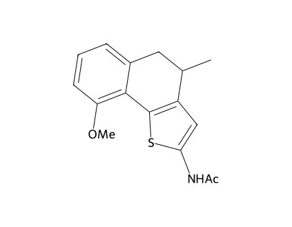 COc1cccc2c1-c1sc(NC(C)=O)cc1C(C)C2